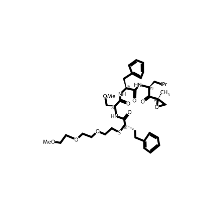 COCCOCCOCCS[C@@H](CCc1ccccc1)C(=O)N[C@@H](COC)C(=O)N[C@@H](Cc1ccccc1)C(=O)N[C@@H](CC(C)C)C(=O)[C@@]1(C)CO1